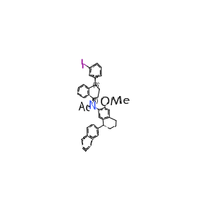 COc1cc2c(cc1N(C(C)=O)[C@@H]1CC[C@H](c3cccc(I)c3)c3ccccc31)C(c1ccc3ccccc3c1)CCC2